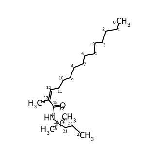 CCCCCCCCCCCCC=C(C)C(=O)N[N+](C)(C)CCC